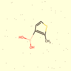 Cc1sccc1B(O)O